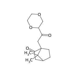 CC1(C)C2CCC1(CC(=O)C1COCCO1)C(=O)C2